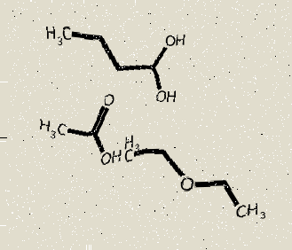 CC(=O)O.CCCC(O)O.CCOCC